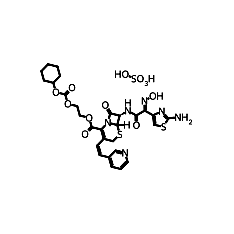 Nc1nc(C(=NO)C(=O)N[C@@H]2C(=O)N3C(C(=O)OCCOC(=O)OC4CCCCC4)=C(/C=C\c4cccnc4)CS[C@@H]23)cs1.O=S(=O)(O)O